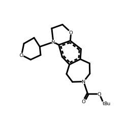 CC(C)(C)OC(=O)N1CCc2cc3c(cc2CC1)N(C1CCOCC1)CCO3